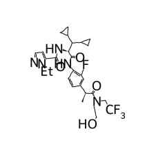 CCn1nccc1C(=O)N[C@H](C(=O)Nc1ccc([C@H](C)C(=O)N(CCO)CC(F)(F)F)cc1F)C(C1CC1)C1CC1